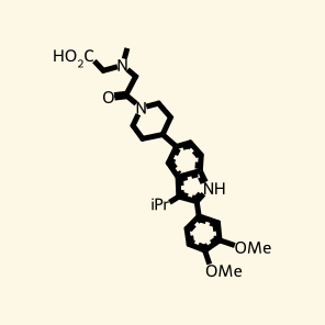 COc1ccc(-c2[nH]c3ccc(C4CCN(C(=O)CN(C)CC(=O)O)CC4)cc3c2C(C)C)cc1OC